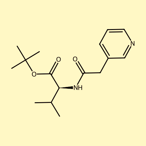 CC(C)[C@H](NC(=O)Cc1cccnc1)C(=O)OC(C)(C)C